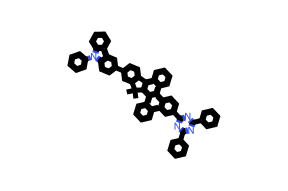 CC1(C)c2cc(-c3ccc4c(c3)c3ccccc3n4-c3ccccc3)ccc2-c2c1c1c3ccccc3c3cc(-c4nc(-c5ccccc5)nc(-c5ccccc5)n4)ccc3c1c1ccccc21